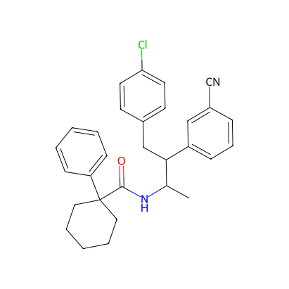 CC(NC(=O)C1(c2ccccc2)CCCCC1)C(Cc1ccc(Cl)cc1)c1cccc(C#N)c1